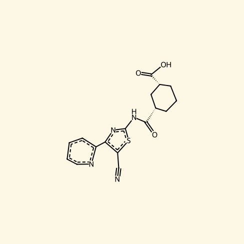 N#Cc1sc(NC(=O)[C@H]2CCC[C@@H](C(=O)O)C2)nc1-c1ccccn1